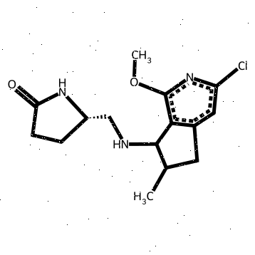 COc1nc(Cl)cc2c1C(NC[C@@H]1CCC(=O)N1)C(C)C2